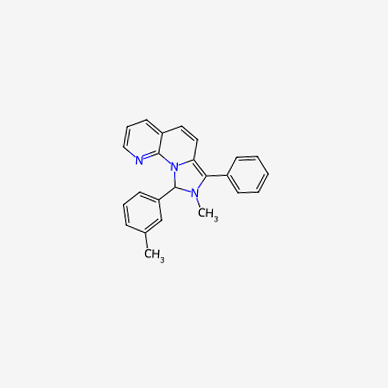 Cc1cccc(C2N(C)C(c3ccccc3)=C3C=Cc4cccnc4N32)c1